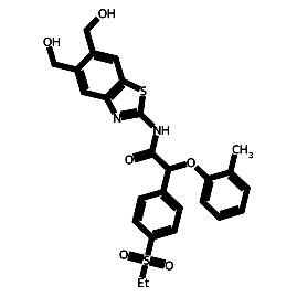 CCS(=O)(=O)c1ccc(C(Oc2ccccc2C)C(=O)Nc2nc3cc(CO)c(CO)cc3s2)cc1